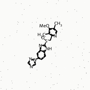 COc1c(C)cnc(C[S+]([O-])c2nc3cc(-n4cncn4)ccc3[nH]2)c1C